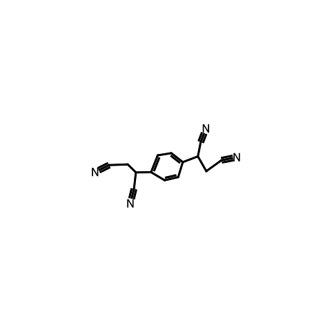 N#CCC(C#N)c1ccc(C(C#N)CC#N)cc1